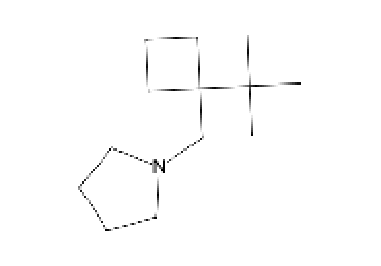 CC(C)(C)C1(CN2CCCC2)CCC1